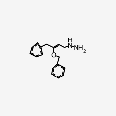 NNCC=C(Cc1ccccc1)OCc1ccccc1